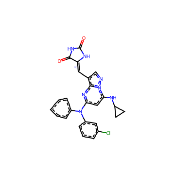 O=C1NC(=O)/C(=C/c2cnn3c(NC4CC4)cc(N(c4ccccc4)c4cccc(Cl)c4)nc23)N1